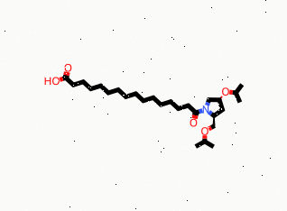 CC(C)OC[C@@H]1C[C@@H](OC(C)C)CN1C(=O)CCCCCCCCCCCCCCC(=O)O